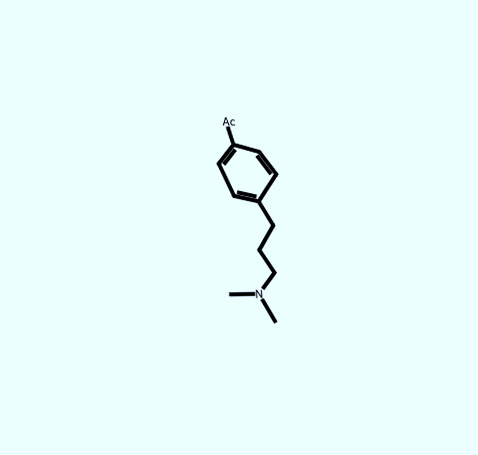 CC(=O)c1ccc(CCCN(C)C)cc1